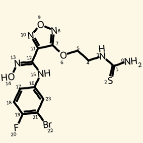 NC(=S)NCCOc1nonc1/C(=N/O)Nc1ccc(F)c(Br)c1